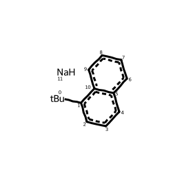 CC(C)(C)c1cccc2ccccc12.[NaH]